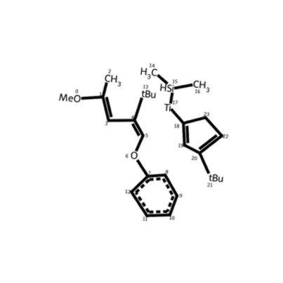 COC(C)=CC(=COc1ccccc1)C(C)(C)C.C[SiH](C)[Ti][C]1=CC(C(C)(C)C)=CC1